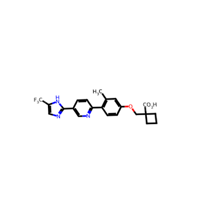 Cc1cc(OCC2(C(=O)O)CCC2)ccc1-c1ccc(-c2ncc(C(F)(F)F)[nH]2)cn1